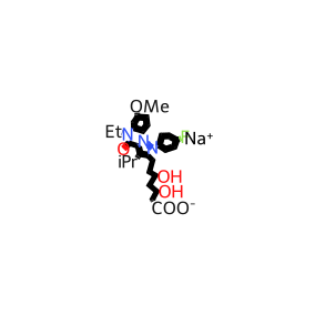 CCN(C(=O)c1nn(-c2ccc(F)cc2)c(CC[C@@H](O)C[C@@H](O)CC(=O)[O-])c1C(C)C)c1cccc(OC)c1.[Na+]